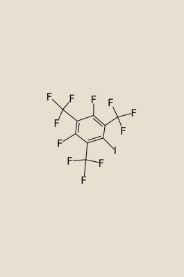 Fc1c(C(F)(F)F)c(F)c(C(F)(F)F)c(I)c1C(F)(F)F